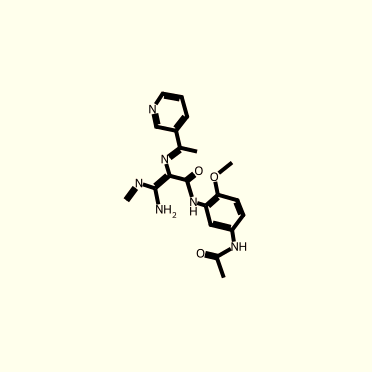 C=N/C(N)=C(\N=C(/C)c1cccnc1)C(=O)Nc1cc(NC(C)=O)ccc1OC